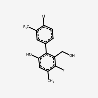 Cc1cc(O)c(-c2ccc(Cl)c(C(F)(F)F)c2)c(CO)c1F